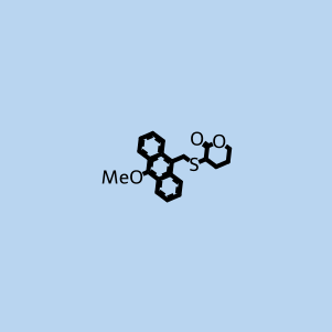 COc1c2ccccc2c(CSC2CCCOC2=O)c2ccccc12